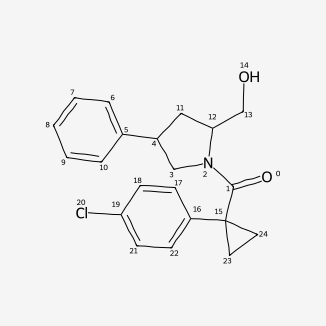 O=C(N1CC(c2ccccc2)CC1CO)C1(c2ccc(Cl)cc2)CC1